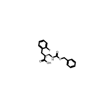 O=C(NC[C@H](Cc1ccccc1F)C(=O)O)OCc1ccccc1